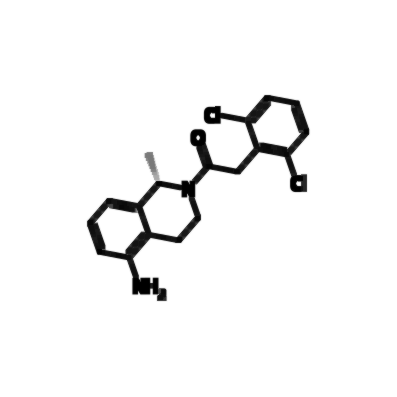 C[C@H]1c2cccc(N)c2CCN1C(=O)Cc1c(Cl)cccc1Cl